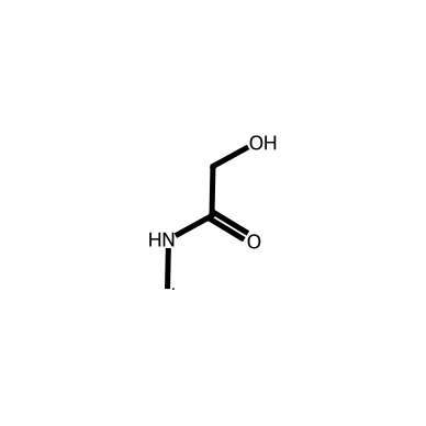 [CH2]NC(=O)CO